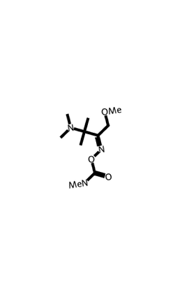 CNC(=O)ON=C(COC)C(C)(C)N(C)C